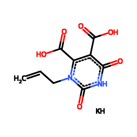 C=CCn1c(C(=O)O)c(C(=O)O)c(=O)[nH]c1=O.[KH]